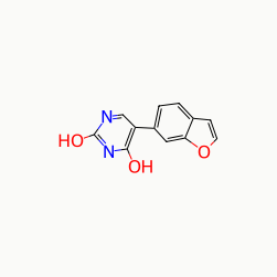 Oc1ncc(-c2ccc3ccoc3c2)c(O)n1